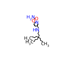 CCCCC(CCCC)(CCCC)CCCNCc1ccc(OC(N)=O)nc1